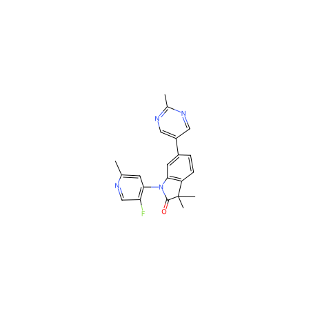 Cc1cc(N2C(=O)C(C)(C)c3ccc(-c4cnc(C)nc4)cc32)c(F)cn1